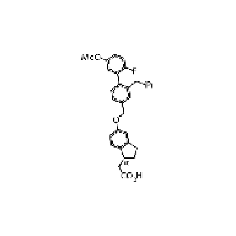 COc1ccc(F)c(-c2ccc(COc3ccc4c(c3)CC[C@H]4CC(=O)O)cc2CC(C)C)c1